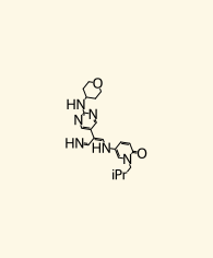 CC(C)Cn1cc(N/C=C(\C=N)c2cnc(NC3CCOCC3)nc2)ccc1=O